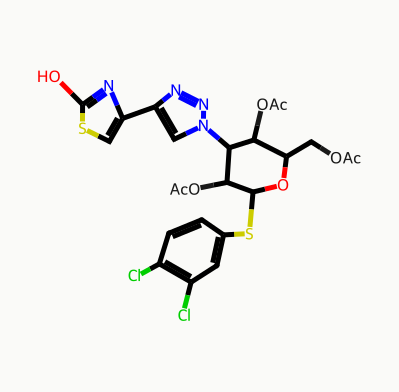 CC(=O)OCC1OC(Sc2ccc(Cl)c(Cl)c2)C(OC(C)=O)C(n2cc(-c3csc(O)n3)nn2)C1OC(C)=O